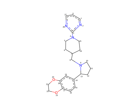 c1cnc(N2CCC(CN3CCCC3c3ccc4c(c3)OCCO4)CC2)nc1